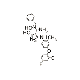 Cc1cc(Oc2ccc(F)cc2Cl)ccc1Nc1snc(O)c1C(N)N(O)Cc1ccccc1